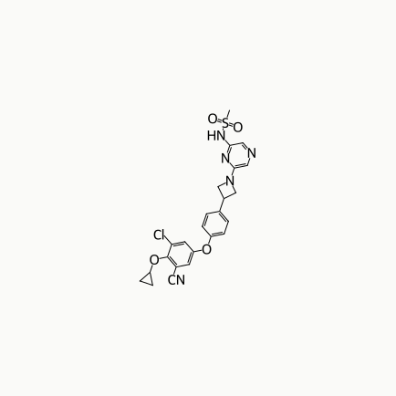 CS(=O)(=O)Nc1cncc(N2CC(c3ccc(Oc4cc(Cl)c(OC5CC5)c(C#N)c4)cc3)C2)n1